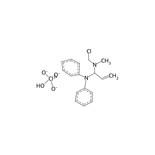 C=CC(N(C)CCl)N(c1ccccc1)c1ccccc1.[O-][Cl+3]([O-])([O-])O